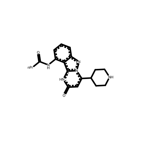 CCCC(=O)Nc1cccc2nn3c(C4CCNCC4)cc(=O)[nH]c3c12